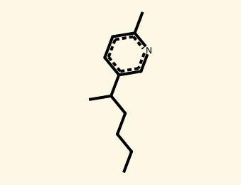 CCCCC(C)c1ccc(C)nc1